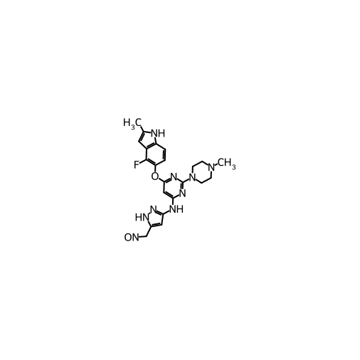 Cc1cc2c(F)c(Oc3cc(Nc4cc(CN=O)[nH]n4)nc(N4CCN(C)CC4)n3)ccc2[nH]1